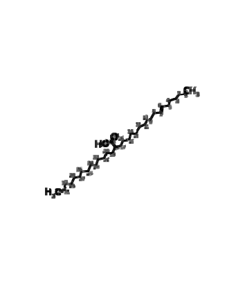 CCCCCCC=CCCCCCCCCCCC(CCCCCCCCCCCCCC)C(=O)O